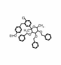 CCOc1ccc(Cc2cc(C3(C)OC(C)C(OCc4ccccc4)C(OCc4ccccc4)C3OCc3ccccc3)ccc2Cl)cc1